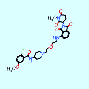 COc1ccc(F)c(C(=O)NC2CCN(CCOCCNc3cccc4c3C(=O)N(C3CCC(=O)N(C)C3=O)C4=O)CC2)c1